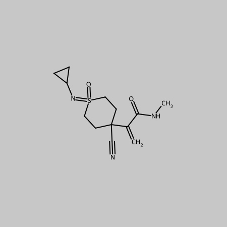 C=C(C(=O)NC)C1(C#N)CCS(=O)(=NC2CC2)CC1